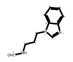 O=CNCCCn1cnc2ccccc21